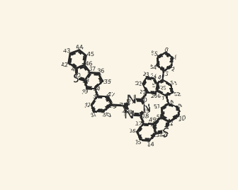 c1ccc(-c2ccc(-c3ccc4sc5cccc(-c6nc(-c7ccccc7)nc(-c7cccc(-c8ccc9c(c8)sc8ccccc89)c7)n6)c5c4c3)cc2)cc1